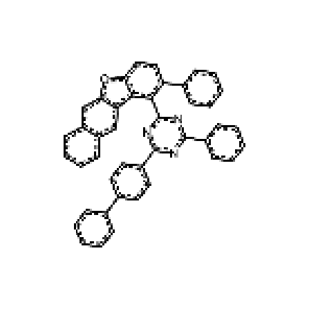 c1ccc(-c2ccc(-c3nc(-c4ccccc4)nc(-c4c(-c5ccccc5)ccc5oc6cc7ccccc7cc6c45)n3)cc2)cc1